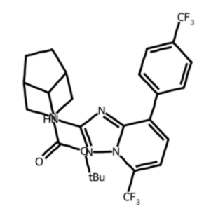 CC(C)(C)OC(=O)N1CC2CCC(C1)C2Nc1nc2c(-c3ccc(C(F)(F)F)cc3)ccc(C(F)(F)F)n2n1